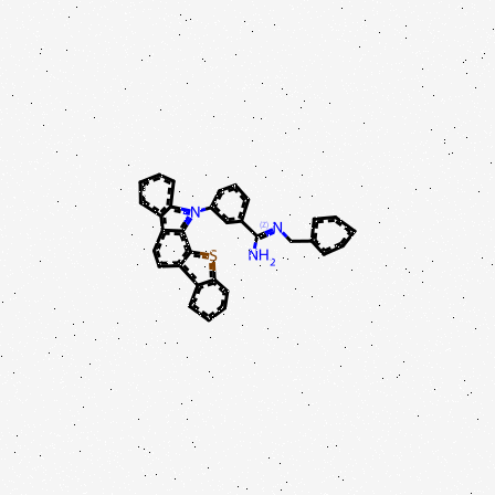 N/C(=N\Cc1ccccc1)c1cccc(-n2c3ccccc3c3ccc4c5ccccc5sc4c32)c1